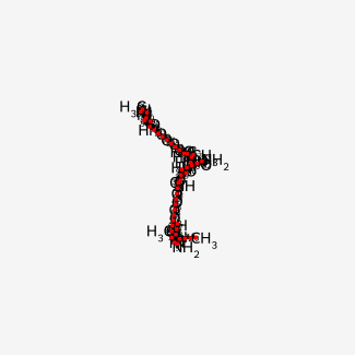 CCCCCNc1nc(N)nc2ccn(Cc3ccc(COCCOCCOCCOCCNC(=O)OCc4ccc(NC(=O)[C@H](CCCNC(N)=O)NC(=O)[C@@H](NC(=O)CCOCCOCCOCCOCCNC(=O)Cc5ccc(-c6nnc(C)nn6)cc5)C(C)C)cc4)cc3OC)c12